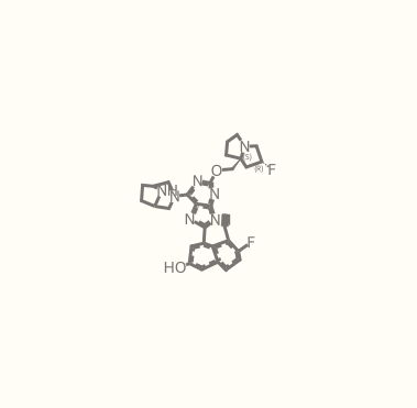 C#Cc1c(F)ccc2cc(O)cc(-c3nc4c(N5CC6CCC(C5)N6)nc(OC[C@@]56CCCN5C[C@H](F)C6)nc4[nH]3)c12